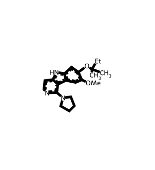 [CH2]CC(C)(C)Oc1cc2[nH]c3ccnc(N4CCCC4)c3c2cc1OC